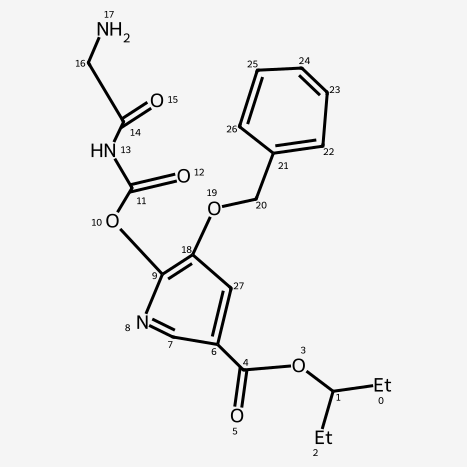 CCC(CC)OC(=O)c1cnc(OC(=O)NC(=O)CN)c(OCc2ccccc2)c1